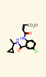 CCOC(=O)/C=C\C(=O)Nc1ccc(Cl)cc1C(=O)NC(C)C1CC1